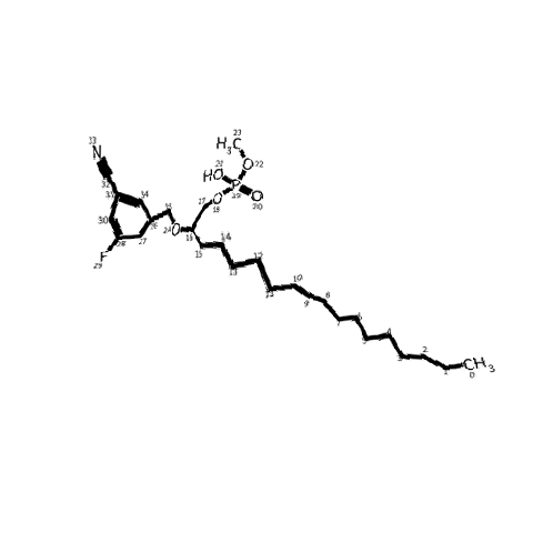 CCCCCCCCCCCCCCCC[C@H](COP(=O)(O)OC)OCc1cc(F)cc(C#N)c1